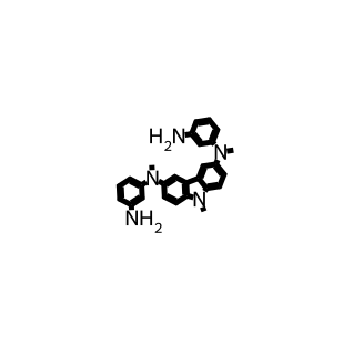 CN(c1cccc(N)c1)c1ccc2c(c1)c1cc(N(C)c3cccc(N)c3)ccc1n2C